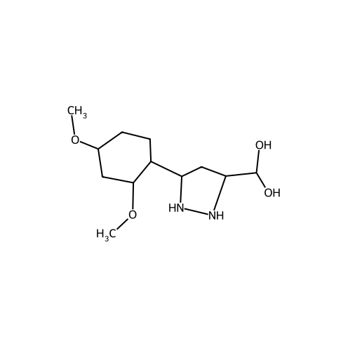 COC1CCC(C2CC(C(O)O)NN2)C(OC)C1